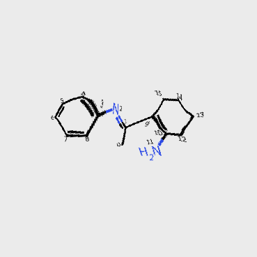 C/C(=N\c1ccccc1)C1=C(N)CCCC1